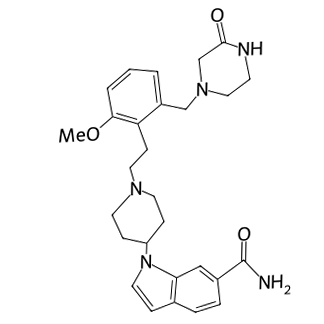 COc1cccc(CN2CCNC(=O)C2)c1CCN1CCC(n2ccc3ccc(C(N)=O)cc32)CC1